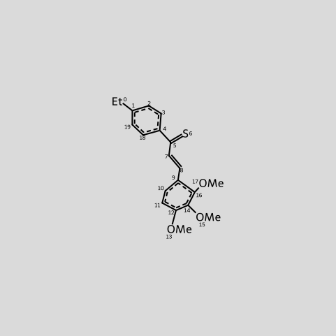 CCc1ccc(C(=S)C=Cc2ccc(OC)c(OC)c2OC)cc1